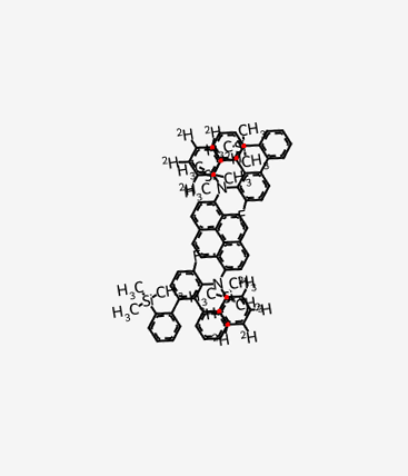 [2H]c1c([2H])c([2H])c(N(c2c(F)ccc(-c3ccccc3[Si](C)(C)C)c2-c2ccccc2[Si](C)(C)C)c2ccc3ccc4c(N(c5c([2H])c([2H])c([2H])c([2H])c5[2H])c5c(F)ccc(-c6ccccc6[Si](C)(C)C)c5-c5ccccc5[Si](C)(C)C)ccc5ccc2c3c54)c([2H])c1[2H]